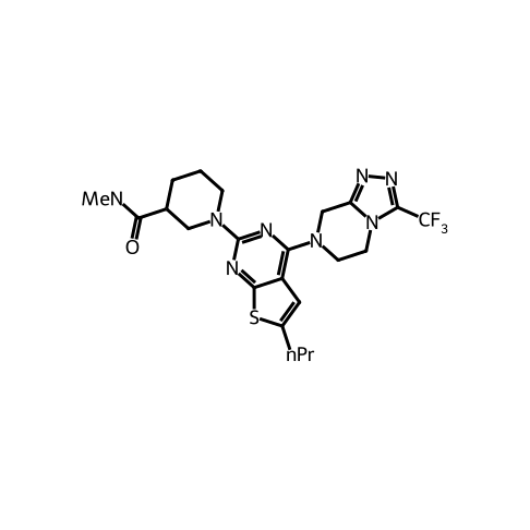 CCCc1cc2c(N3CCn4c(nnc4C(F)(F)F)C3)nc(N3CCCC(C(=O)NC)C3)nc2s1